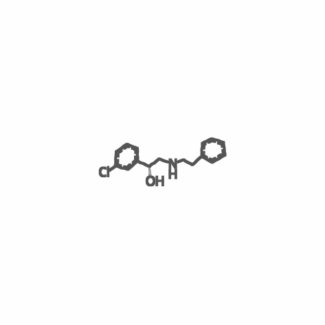 O[C@@H](CNCCc1ccccc1)c1cccc(Cl)c1